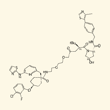 Cc1ncsc1-c1ccc(CNC(=O)[C@@H]2C[C@@H](O)CN2C(=O)[C@@H](CC(=O)COCCOCCNC(=O)[C@]2(Cc3cccc(Nc4nccs4)n3)CC[C@@H](Oc3cccc(Cl)c3F)CC2)C(C)(C)C)cc1